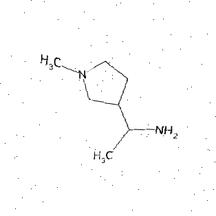 CC(N)C1CCN(C)C1